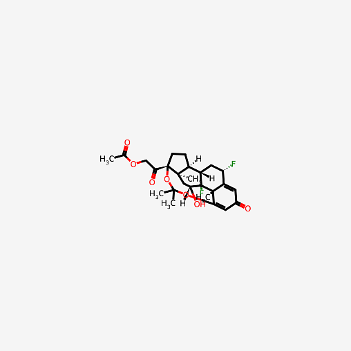 CC(=O)OCC(=O)[C@]12CC[C@H]3[C@@H]4C[C@H](F)C5=CC(=O)C=C(OC(C)(C)O1)[C@]5(C)C4(F)[C@H](O)C[C@]32C